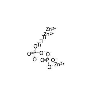 O=P([O-])([O-])[O-].O=P([O-])([O-])[O-].[Ti].[Ti].[Ti].[Zn+2].[Zn+2].[Zn+2]